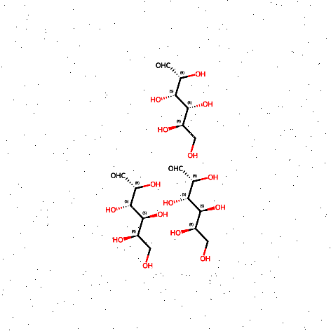 O=C[C@H](O)[C@@H](O)[C@@H](O)[C@H](O)CO.O=C[C@H](O)[C@@H](O)[C@@H](O)[C@H](O)CO.O=C[C@H](O)[C@@H](O)[C@H](O)[C@H](O)CO